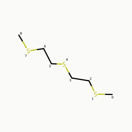 CSCCSCCSC